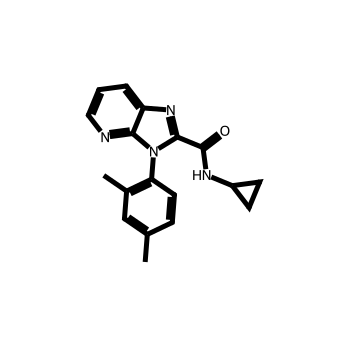 Cc1ccc(-n2c(C(=O)NC3CC3)nc3cccnc32)c(C)c1